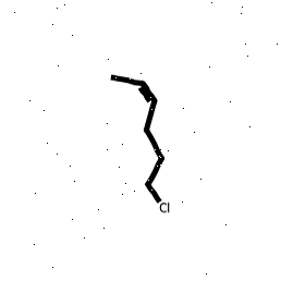 C/C=C\CCCCl